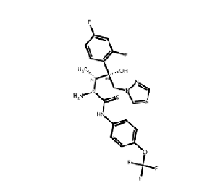 C[C@@H](N(N)C(=S)Nc1ccc(OC(F)(F)F)cc1)[C@](O)(Cn1cncn1)c1ccc(F)cc1F